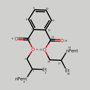 CCCCCC(CC)COC(=O)c1ccccc1C(=O)OCC(CC)CCCCC